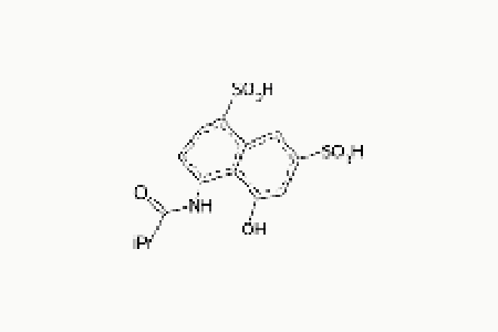 CC(C)C(=O)Nc1ccc(S(=O)(=O)O)c2cc(S(=O)(=O)O)cc(O)c12